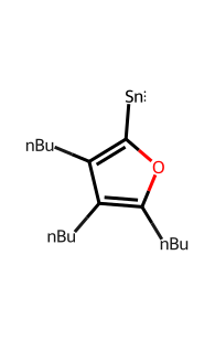 CCCCc1o[c]([Sn])c(CCCC)c1CCCC